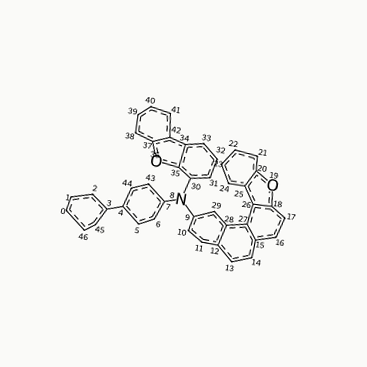 c1ccc(-c2ccc(N(c3ccc4ccc5ccc6oc7ccccc7c6c5c4c3)c3cccc4c3oc3ccccc34)cc2)cc1